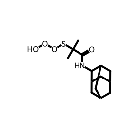 CC(C)(SOOO)C(=O)NC1C2CC3CC(C2)CC1C3